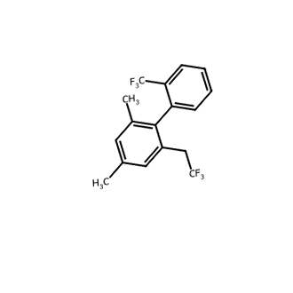 Cc1cc(C)c(-c2ccccc2C(F)(F)F)c(CC(F)(F)F)c1